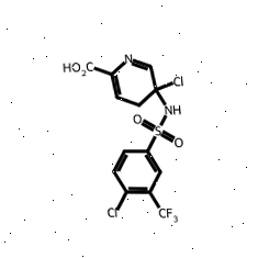 O=C(O)C1=CCC(Cl)(NS(=O)(=O)c2ccc(Cl)c(C(F)(F)F)c2)C=N1